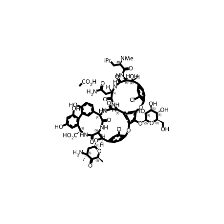 CC(=O)O.CN[C@H](CC(C)C)C(=O)N[C@H]1C(=O)N[C@@H](CC(N)=O)C(=O)N[C@H]2C(=O)N[C@H]3C(=O)N[C@H](C(=O)N[C@H](C(=O)O)c4cc(O)cc(O)c4-c4cc3ccc4O)[C@H](O[C@H]3C[C@](C)(N)C(=O)[C@H](C)O3)c3ccc(c(Cl)c3)Oc3cc2cc(c3O[C@@H]2O[C@H](CO)[C@@H](O)[C@H](O)[C@H]2O)Oc2ccc(cc2Cl)[C@H]1O